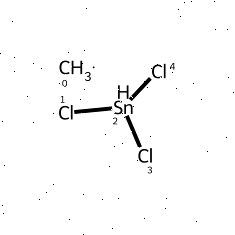 [CH3].[Cl][SnH]([Cl])[Cl]